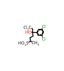 CC(CCC(O)(CC(Cl)(Cl)Cl)c1cc(Cl)cc(Cl)c1)S(=O)(=O)O